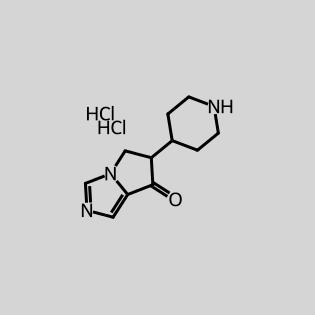 Cl.Cl.O=C1c2cncn2CC1C1CCNCC1